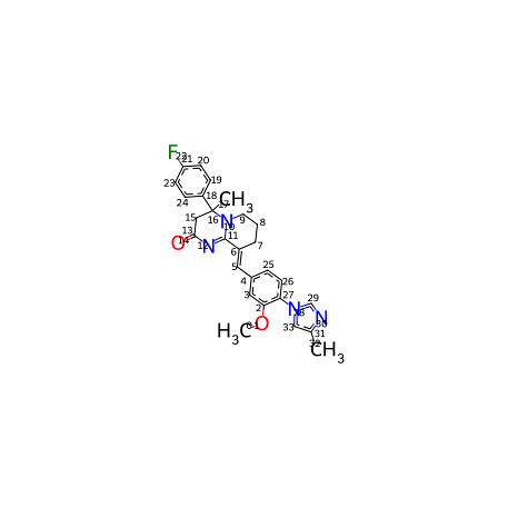 COc1cc(/C=C2\CCCN3C2=NC(=O)CC3(C)c2ccc(F)cc2)ccc1-n1cnc(C)c1